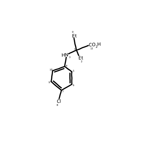 CCC(CC)(Nc1ccc(Cl)cc1)C(=O)O